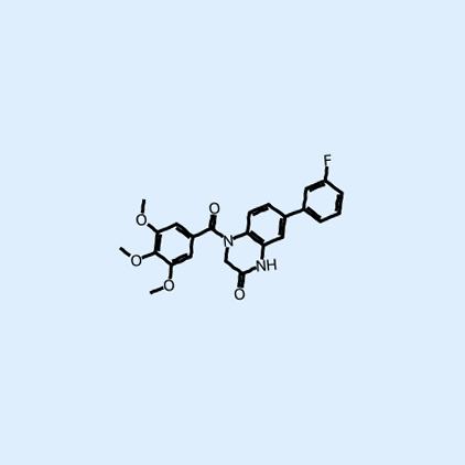 COc1cc(C(=O)N2CC(=O)Nc3cc(-c4cccc(F)c4)ccc32)cc(OC)c1OC